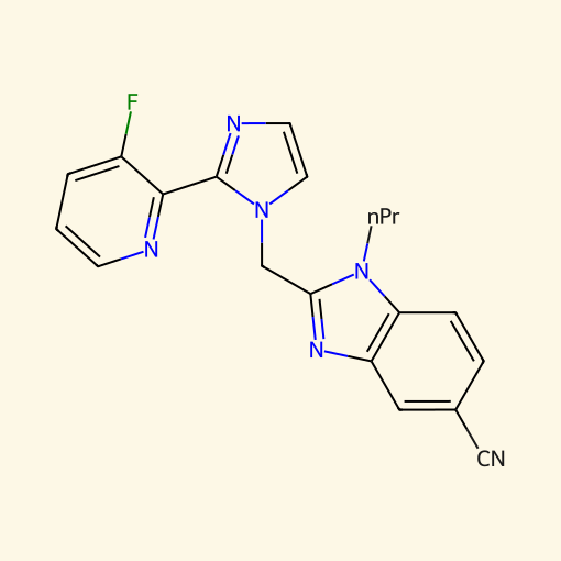 CCCn1c(Cn2ccnc2-c2ncccc2F)nc2cc(C#N)ccc21